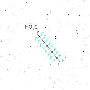 CC(F)C(F)(F)C(F)(F)C(F)(F)C(F)(F)C(F)(F)C(F)(F)C(F)(F)C(F)(F)C=CC(=O)O